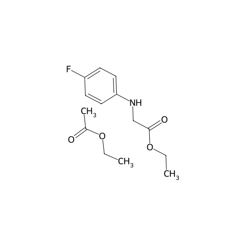 CCOC(=O)CNc1ccc(F)cc1.CCOC(C)=O